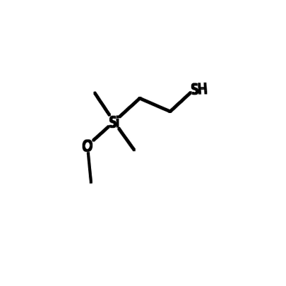 CO[Si](C)(C)CCS